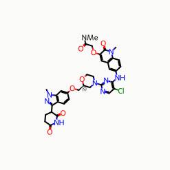 CNC(=O)COc1cc2cc(Nc3nc(N4CCO[C@H](COc5ccc6c(C7CCC(=O)NC7=O)nn(C)c6c5)C4)ncc3Cl)ccc2n(C)c1=O